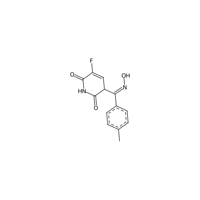 Cc1ccc(/C(=N/O)C2C=C(F)C(=O)NC2=O)cc1